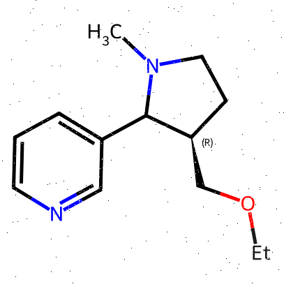 CCOC[C@@H]1CCN(C)C1c1cccnc1